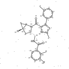 Cc1cccc(-c2sc(C)nc2C(=O)N2C3C[C@H]3C[C@H]2CNC(=O)c2cccc(F)c2C)c1